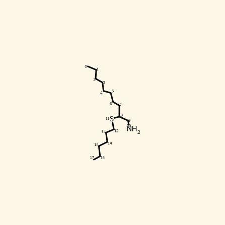 CCCCCCCCC(CN)SCCCCCC